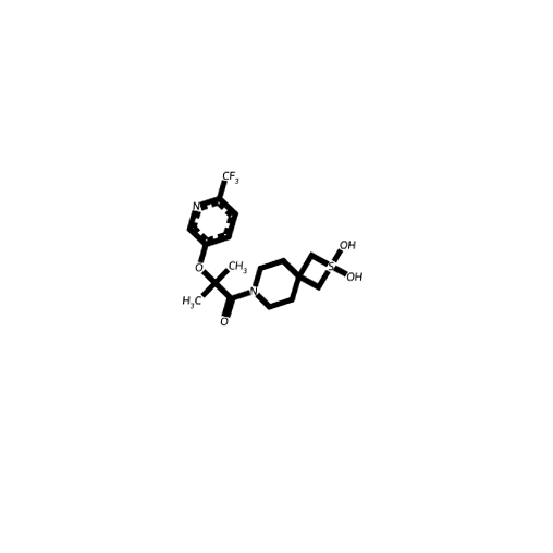 CC(C)(Oc1ccc(C(F)(F)F)nc1)C(=O)N1CCC2(CC1)CS(O)(O)C2